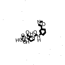 O=C(Nc1cccc(-c2cnco2)c1)N1CC[C@@H]2[C@H]1C(=O)N2S(=O)(=O)O